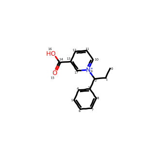 CCC(c1ccccc1)[n+]1cccc(C(=O)O)c1